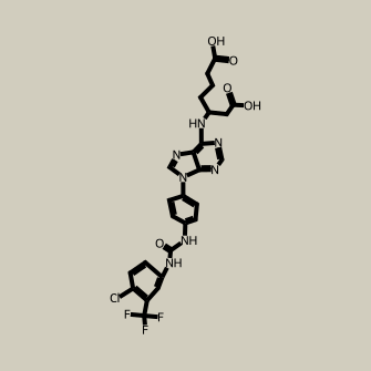 O=C(O)CCCC(CC(=O)O)Nc1ncnc2c1ncn2-c1ccc(NC(=O)Nc2ccc(Cl)c(C(F)(F)F)c2)cc1